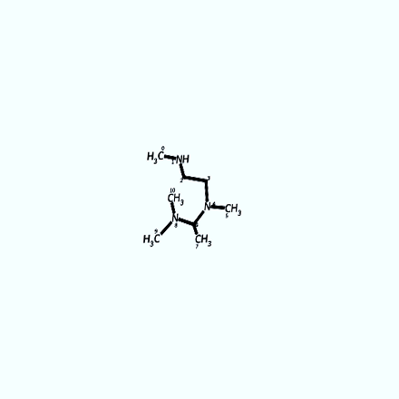 CNCCN(C)C(C)N(C)C